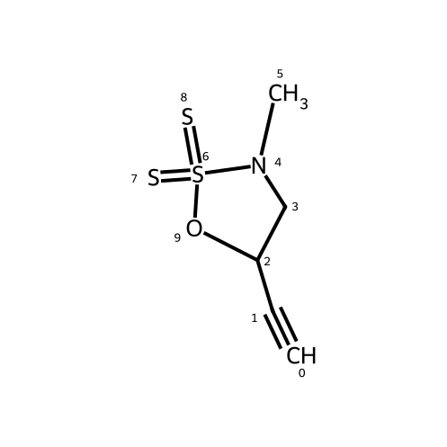 C#CC1CN(C)S(=S)(=S)O1